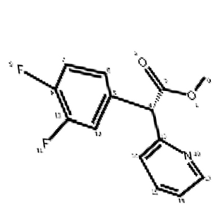 COC(=O)[C@@H](c1ccc(F)c(F)c1)c1ccccn1